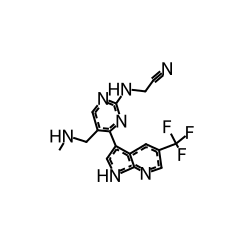 CNCc1cnc(NCC#N)nc1-c1c[nH]c2ncc(C(F)(F)F)cc12